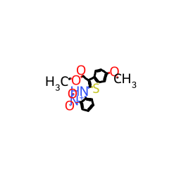 CCOC(=O)c1c(Nc2ccccc2[N+](=O)[O-])sc2cc(OC)ccc12